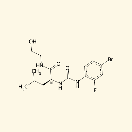 CC(C)C[C@H](NC(=O)Nc1ccc(Br)cc1F)C(=O)NCCO